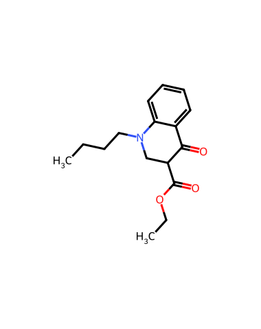 CCCCN1CC(C(=O)OCC)C(=O)c2ccccc21